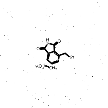 CC(C)Cc1cccc2c1C(=O)NC2=O.CS(=O)(=O)O